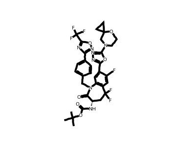 CC(C)(C)OC(=O)N[C@H]1CC(F)(F)c2cc(F)c(-c3nnc(N4CCOC5(CC5)C4)o3)cc2N(Cc2ccc(-c3noc(C(F)(F)F)n3)cc2)C1=O